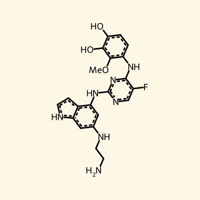 COc1c(Nc2nc(Nc3cc(NCCN)cc4[nH]ccc34)ncc2F)ccc(O)c1O